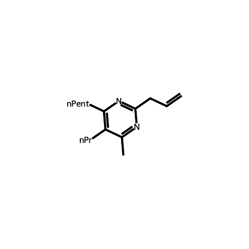 C=CCc1nc(C)c(CCC)c(CCCCC)n1